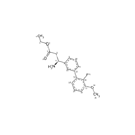 CCOC(=O)C[C@H](N)c1cccc(-c2cccc(OC)c2F)c1